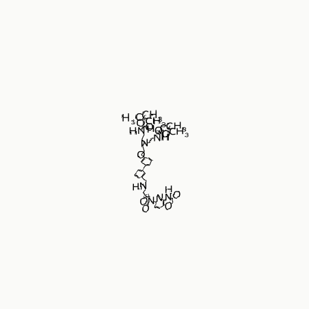 CC(C)(C)OC(=O)NCCN(CCNC(=O)OC(C)(C)C)CCOc1cccc(-c2cccc(CNCC[C@H]3CN(c4ccc5c(n4)NC(=O)CO5)C(=O)O3)c2)c1